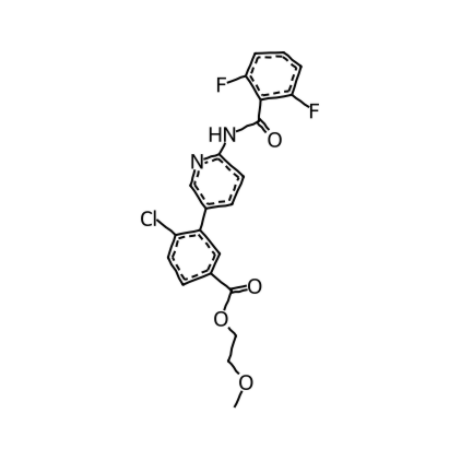 COCCOC(=O)c1ccc(Cl)c(-c2ccc(NC(=O)c3c(F)cccc3F)nc2)c1